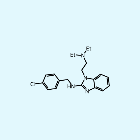 CCN(CC)CCn1c(NCc2ccc(Cl)cc2)nc2ccccc21